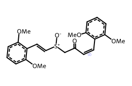 COc1cccc(OC)c1C=C[S+]([O-])CC(=O)/C=C\c1c(OC)cccc1OC